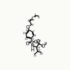 CC=C=CCOc1ccc(S(=O)(=O)NC(C(=O)OC)C(C)C)cc1